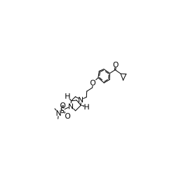 CN(C)S(=O)(=O)N1C[C@@H]2C[C@H]1CN2CCCOc1ccc(C(=O)C2CC2)cc1